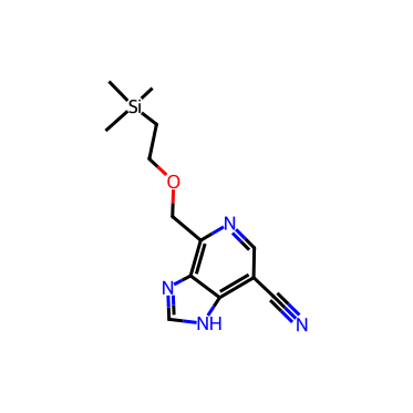 C[Si](C)(C)CCOCc1ncc(C#N)c2[nH]cnc12